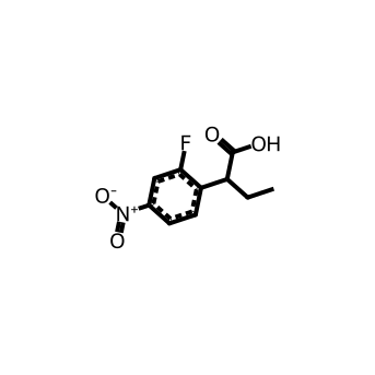 CCC(C(=O)O)c1ccc([N+](=O)[O-])cc1F